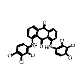 O=C1c2cccc(Nc3ccc(Cl)c(Cl)c3Cl)c2C(=O)c2c(Nc3ccc(Cl)c(Cl)c3Cl)cccc21